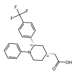 O=C(O)C[C@@H]1CCN(c2ccccc2)[C@H](c2ccc(C(F)(F)F)cc2)C1